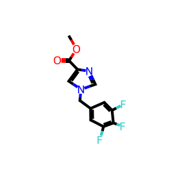 COC(=O)c1cn(Cc2cc(F)c(F)c(F)c2)cn1